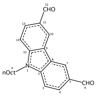 CCCCCCCCn1c2ccc(C=O)cc2c2cc(C=O)ccc21